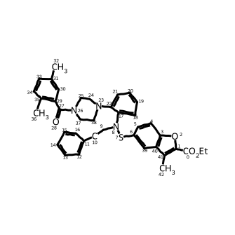 CCOC(=O)c1oc2ccc(SN(CCc3ccccc3)c3ccccc3N3CCN(C(=O)c4cc(C)ccc4C)CC3)cc2c1C